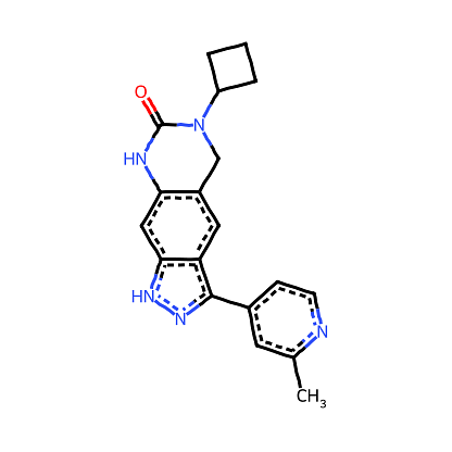 Cc1cc(-c2n[nH]c3cc4c(cc23)CN(C2CCC2)C(=O)N4)ccn1